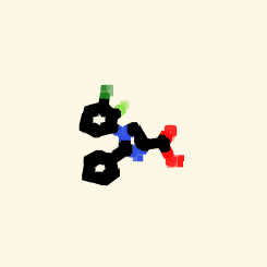 O=C(O)c1cn(-c2cccc(Cl)c2F)c(-c2ccccc2)n1